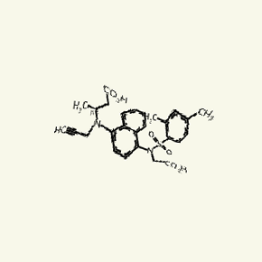 C#CCN(c1ccc(N(CC(=O)O)S(=O)(=O)c2ccc(C)cc2C)c2ccccc12)[C@@H](C)CC(=O)O